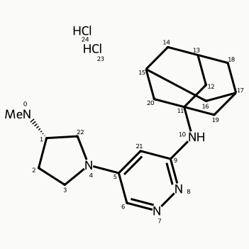 CN[C@H]1CCN(c2cnnc(NC34CC5CC(CC(C5)C3)C4)c2)C1.Cl.Cl